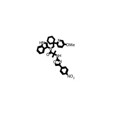 COc1ccc(C2(CN(C(=O)C(C)(C)Nc3nc(-c4ccc([N+](=O)[O-])cc4)co3)c3c[nH]c4ccccc34)CCCCC2)nc1